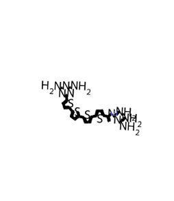 C=C(/N=C(/N)N=C(N)N)c1ccc(-c2ccc(-c3ccc(-c4ccc(-c5nc(N)nc(N)n5)s4)s3)s2)s1